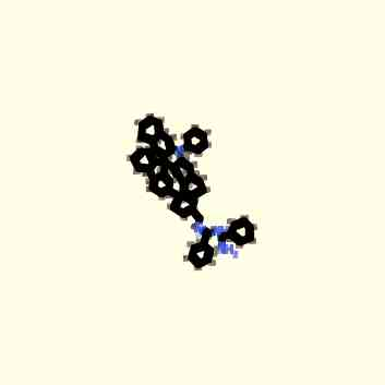 NC(N/C(=N\Cc1ccc(-c2ccc3c(c2)C2(c4ccccc4-3)c3cc4ccccc4cc3N(C3C=CC=CC3)c3cc4ccccc4cc32)cc1)c1ccccc1)c1ccccc1